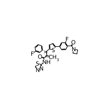 C[C@@H](C(=O)Nc1nncs1)[C@H](c1cccc(F)c1)c1ccc(-c2ccc(C(=O)N3CCC3)c(F)c2)s1